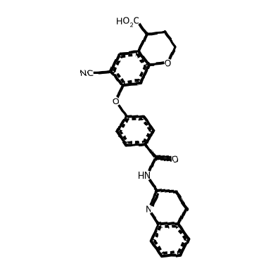 N#Cc1cc2c(cc1Oc1ccc(C(=O)NC3=Nc4ccccc4CC3)cc1)OCCC2C(=O)O